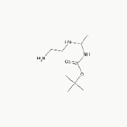 CC(NCCN)NC(=O)OC(C)(C)C